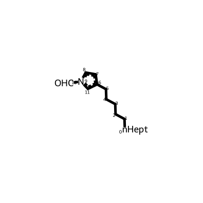 CCCCCCCCCCCCc1ccn(C=O)c1